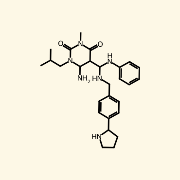 CC(C)CN1C(=O)N(C)C(=O)C(C(NCc2ccc(C3CCCN3)cc2)Nc2ccccc2)C1N